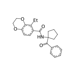 CCc1c(C(=O)NC2(C(=O)c3ccccc3)CCCC2)ccc2c1OCCO2